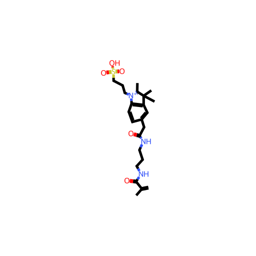 C=C(C)C(=O)NCCCNC(=O)Cc1ccc2c(c1)C(C)(C)C(C)=[N+]2CCCS(=O)(=O)O